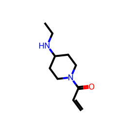 C=CC(=O)N1CCC(NCC)CC1